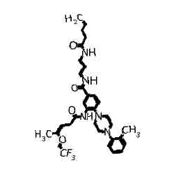 C=CCCC(=O)NCCCNC(=O)c1ccc(N2CCN(c3ccccc3C)CC2)c(NC(=O)C/C=C(/C)OCC(F)(F)F)c1